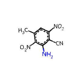 Cc1cc([N+](=O)[O-])c(C#N)c(N)c1[N+](=O)[O-]